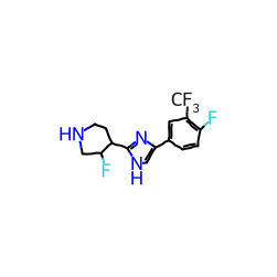 Fc1ccc(-c2c[nH]c(C3CCNCC3F)n2)cc1C(F)(F)F